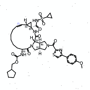 COc1ccc(-c2csc(C(=O)N3C[C@H]4CN5C(=O)[C@@H](NC(=O)OCC6CCCC6)CCCCC/C=C\[C@@H]6C[C@@]6(C(=O)NS(=O)(=O)C6CC6)NC(=O)[C@@H]5[C@H]4C3)n2)cc1